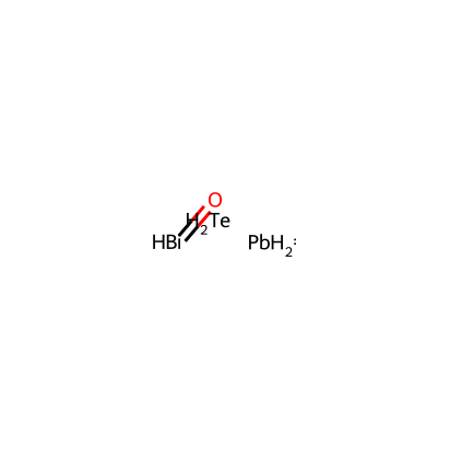 [O]=[BiH].[PbH2].[TeH2]